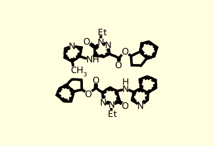 CCn1nc(C(=O)OC2CCc3ccccc32)cc(Nc2cncc3ccccc23)c1=O.CCn1nc(C(=O)OC2CCc3ccccc32)cc(Nc2cnccc2C)c1=O